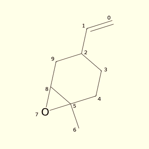 C=CC1CCC2(C)OC2C1